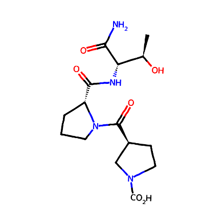 C[C@@H](O)[C@H](NC(=O)[C@H]1CCCN1C(=O)[C@H]1CCN(C(=O)O)C1)C(N)=O